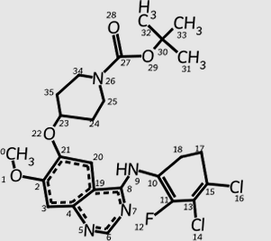 COc1cc2ncnc(NC3=C(F)C(Cl)=C(Cl)CC3)c2cc1OC1CCN(C(=O)OC(C)(C)C)CC1